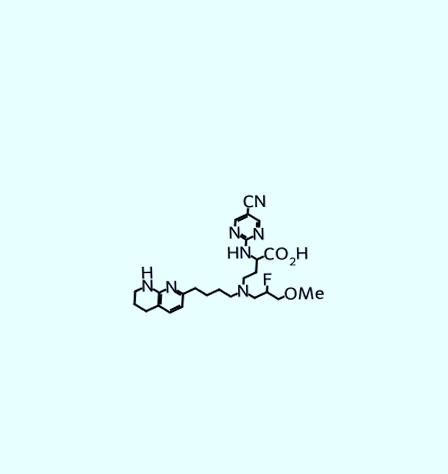 COCC(F)CN(CCCCc1ccc2c(n1)NCCC2)CCC(Nc1ncc(C#N)cn1)C(=O)O